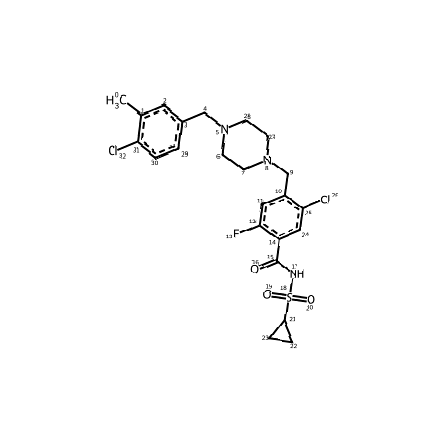 Cc1cc(CN2CCN(Cc3cc(F)c(C(=O)NS(=O)(=O)C4CC4)cc3Cl)CC2)ccc1Cl